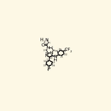 NCC(=O)N1CCn2c(nc(-c3ccc(F)cc3)c2Nc2ccc(C(F)(F)F)cc2)C1